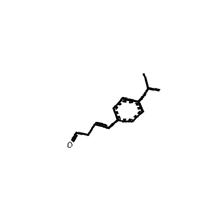 CC(C)c1ccc(C=CCC=O)cc1